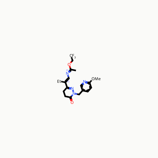 CC/C(=C\N=C(/C)OCC(F)(F)F)C1=NN(Cc2ccc(OC)nc2)C(=O)CC1